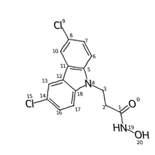 O=C(CCn1c2ccc(Cl)cc2c2cc(Cl)ccc21)NO